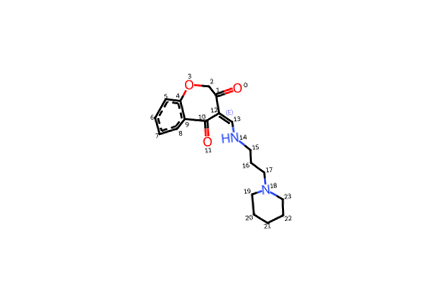 O=C1COc2ccccc2C(=O)/C1=C\NCCCN1CCCCC1